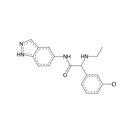 CCNC(C(=O)Nc1ccc2[nH]ncc2c1)c1cccc(Cl)c1